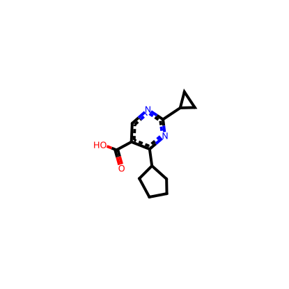 O=C(O)c1cnc(C2CC2)nc1C1CCCC1